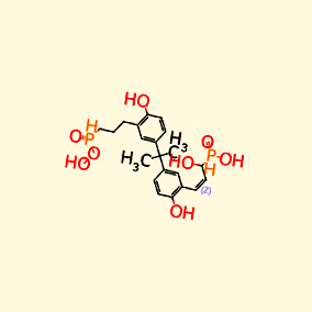 CC(C)(c1ccc(O)c(/C=C\C(O)[PH](=O)O)c1)c1ccc(O)c(CCC[PH](=O)OO)c1